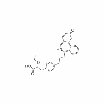 CCOC(Cc1ccc(CCCC2=c3ccccc3=C3CC(=O)C=CC3=CN2)cc1)C(=O)O